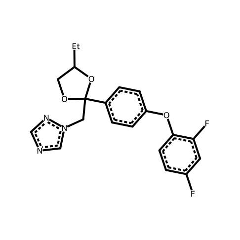 CCC1COC(Cn2cncn2)(c2ccc(Oc3ccc(F)cc3F)cc2)O1